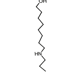 CCCNCCCCCCCCO